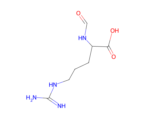 N=C(N)NCCCC(NC=O)C(=O)O